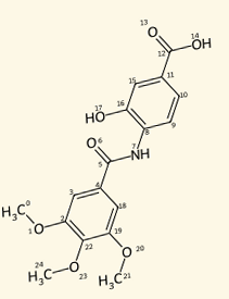 COc1cc(C(=O)Nc2ccc(C(=O)O)cc2O)cc(OC)c1OC